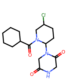 O=C1CN(C2CCC(Cl)CN2C(=O)C2CCCCC2)C(=O)CN1